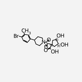 Cc1cc(C2CCN(S(=O)(=O)[C@@]3(C(=O)O)C[C@@H](O)[C@@H](O)C3)CC2)ccc1Br